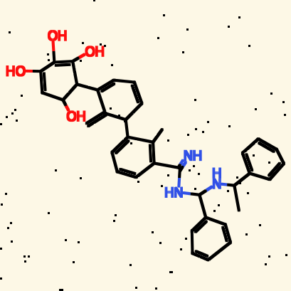 C=C1C(C2C(O)=C(O)C(O)=CC2O)=CC=CC1c1cccc(C(=N)NC(NC(C)c2ccccc2)c2ccccc2)c1C